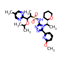 COc1cccc(-c2nnc(NS(=O)(=O)C(C)C(OC(C)C)c3ncc(C)cn3)n2C(C)[C@@H]2CCCCO2)n1